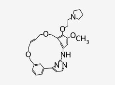 COc1cc2cc(c1OCCN1CCCC1)COC/C=C/COCc1cccc(c1)-c1ccnc(n1)N2